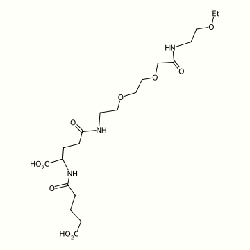 CCOCCNC(=O)COCCOCCNC(=O)CCC(NC(=O)CCCC(=O)O)C(=O)O